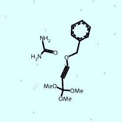 COC(C#COCc1ccccc1)(OC)OC.NC(N)=O